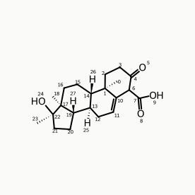 C[C@]12CCC(=O)C(C(=O)O)C1=CC[C@@H]1[C@@H]2CC[C@@]2(C)[C@H]1CC[C@@]2(C)O